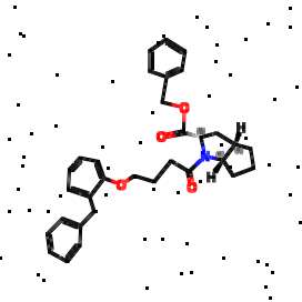 O=C(OCc1ccccc1)[C@@H]1C[C@@H]2CCC[C@@H]2N1C(=O)CCCOc1ccccc1Cc1ccccc1